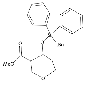 COC(=O)C1COCCC1O[Si](c1ccccc1)(c1ccccc1)C(C)(C)C